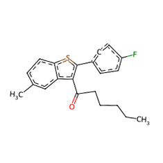 CCCCCC(=O)c1c(-c2ccc(F)cc2)sc2ccc(C)cc12